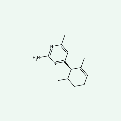 CC1=CCCC(C)[C@H]1c1cc(C)nc(N)n1